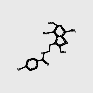 CNc1nc(N)c2nc(NC)n(CCNC(=O)c3ccc(C(F)(F)F)cc3)c2c1NC